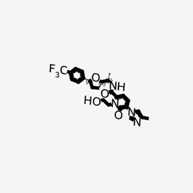 Cc1cn(-c2ccc(C(=O)N[C@@H](C)[C@@H]3CC[C@H](c4ccc(C(F)(F)F)cc4)O3)n(CCO)c2=O)cn1